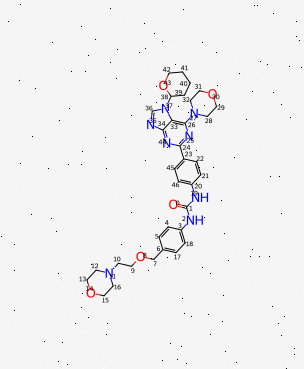 O=C(Nc1ccc(COCCN2CCOCC2)cc1)Nc1ccc(-c2nc(N3CCOCC3)c3c(ncn3C3CCCCO3)n2)cc1